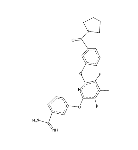 Cc1c(F)c(Oc2cccc(C(=N)N)c2)nc(Oc2cccc(C(=O)N3CCCC3)c2)c1F